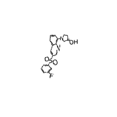 O=S(=O)(c1cccc(F)c1)c1cnc2c(N3CC[C@@H](O)C3)cccc2c1